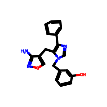 Nc1nocc1Cc1c(-c2ccccc2)ncn1Cc1cccc(O)c1